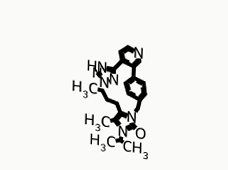 CCCCc1c(C)n(C(C)C)c(=O)n1Cc1ccc(-c2cnccc2-c2nnn[nH]2)cc1